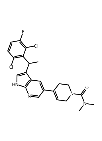 CC(c1c(Cl)ccc(F)c1Cl)c1c[nH]c2ncc(C3=CCN(C(=O)N(C)C)CC3)cc12